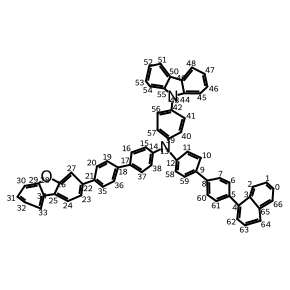 c1ccc2c(-c3ccc(-c4ccc(N(c5ccc(-c6ccc(-c7ccc8c(c7)oc7ccccc78)cc6)cc5)c5ccc(-n6c7ccccc7c7ccccc76)cc5)cc4)cc3)cccc2c1